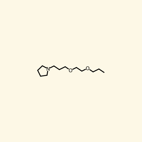 CCCOCCOCCCN1CCCC1